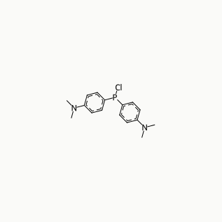 CN(C)c1ccc(P(Cl)c2ccc(N(C)C)cc2)cc1